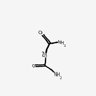 N[C](=O)[Zn][C](N)=O